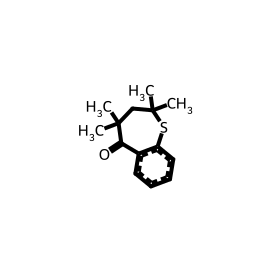 CC1(C)CC(C)(C)C(=O)c2ccccc2S1